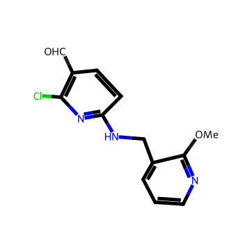 COc1ncccc1CNc1ccc(C=O)c(Cl)n1